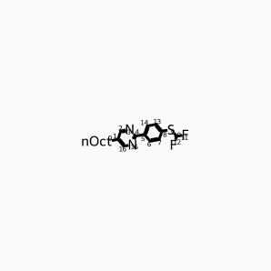 CCCCCCCCc1cnc(-c2ccc(SC(F)F)cc2)nc1